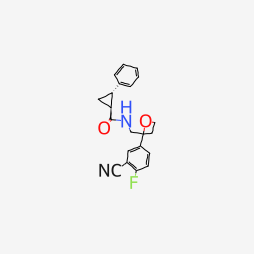 N#Cc1cc(C2(CNC(=O)[C@H]3C[C@@H]3c3ccccc3)CCO2)ccc1F